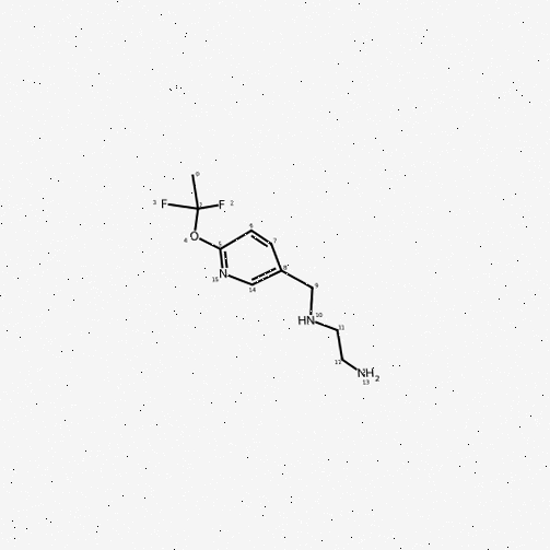 CC(F)(F)Oc1ccc(CNCCN)cn1